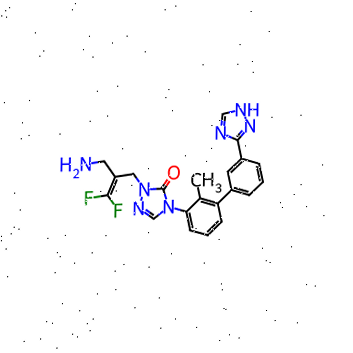 Cc1c(-c2cccc(-c3nc[nH]n3)c2)cccc1-n1cnn(CC(CN)=C(F)F)c1=O